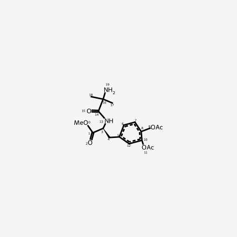 COC(=O)[C@H](Cc1ccc(OC(C)=O)c(OC(C)=O)c1)NC(=O)C(C)(C)N